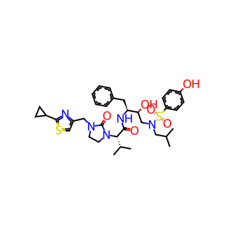 CC(C)CN(C[C@H](O)[C@H](Cc1ccccc1)NC(=O)[C@H](C(C)C)N1CCN(Cc2csc(C3CC3)n2)C1=O)S(=O)(=O)c1ccc(O)cc1